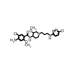 COc1cc(N)c(Cl)cc1C(=O)NC1CCN(CCCNc2ccc(Cl)nn2)CC1OC